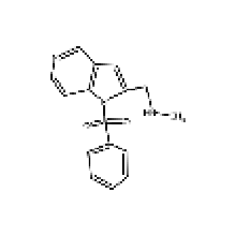 CNCc1cc2cnccc2n1S(=O)(=O)c1ccccc1